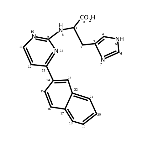 O=C(O)C(Cc1c[nH]cn1)Nc1nccc(-c2ccc3ccccc3c2)n1